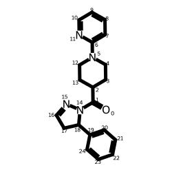 O=C(C1CCN(c2ccccn2)CC1)N1N=CCC1c1ccccc1